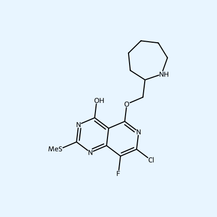 CSc1nc(O)c2c(OCC3CCCCCN3)nc(Cl)c(F)c2n1